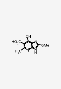 CSc1nc2c(O)c(C(=O)O)c(C)nc2[nH]1